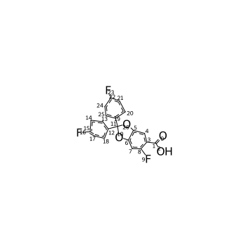 O=C(O)c1cc2c(cc1F)OC(c1ccc(F)cc1)(c1ccc(F)cc1)O2